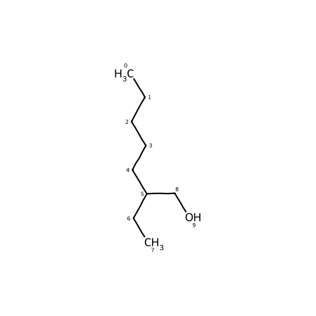 CCCCCC(CC)CO